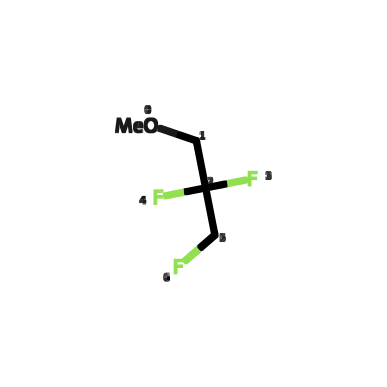 COCC(F)(F)CF